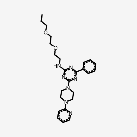 CCCOCCOCCNc1nc(-c2ccccc2)nc(N2CCN(c3ccccn3)CC2)n1